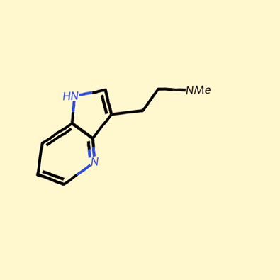 CNCCc1c[nH]c2cccnc12